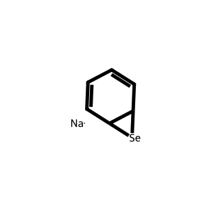 C1=CC2[Se]C2C=C1.[Na]